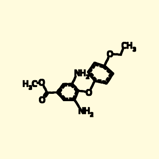 CCOc1ccc(Oc2c(N)cc(C(=O)OC)cc2N)cc1